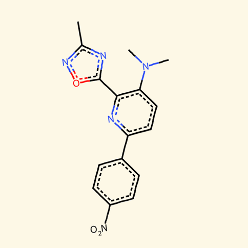 Cc1noc(-c2nc(-c3ccc([N+](=O)[O-])cc3)ccc2N(C)C)n1